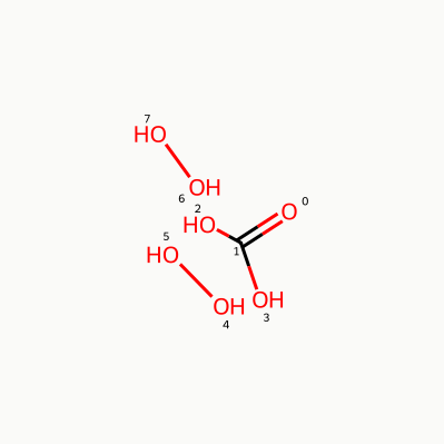 O=C(O)O.OO.OO